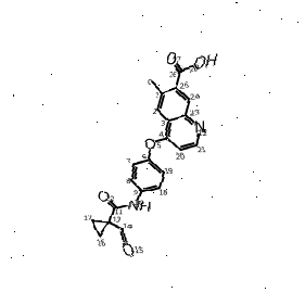 Cc1cc2c(Oc3ccc(NC(=O)C4(C=O)CC4)cc3)ccnc2cc1C(=O)O